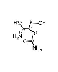 NC(=O)OC(C=O)[C@H](N)S